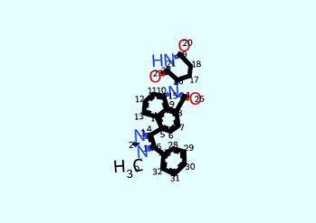 Cn1cnc(-c2ccc3c4c(cccc24)N(C2CCC(=O)NC2=O)C3=O)c1-c1ccccc1